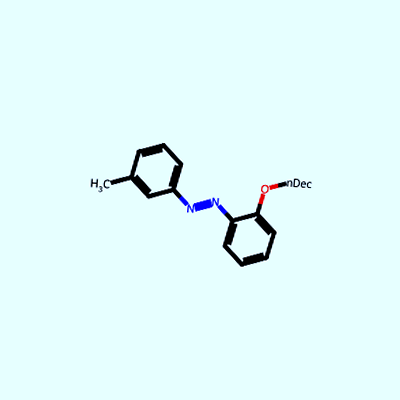 CCCCCCCCCCOc1ccccc1N=Nc1cccc(C)c1